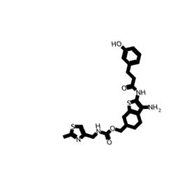 Cc1nc(CNC(=O)OCC2CCc3c(sc(NC(=O)CCc4cccc(O)c4)c3N)C2)cs1